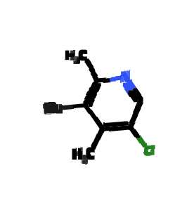 Cc1ncc(Cl)c(C)c1C(C)(C)C